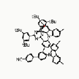 Cc1ccc2c(c1)c1cc(C)ccc1n2-c1ccc(-c2ccc(C#N)cc2)cc1-c1ccc(-n2c3ccc(C)cc3c3cc(C)ccc32)c(-c2nc(-c3cc(C(C)(C)C)cc(C(C)(C)C)c3)nc(-c3cc(C(C)(C)C)cc(C(C)(C)C)c3)n2)c1